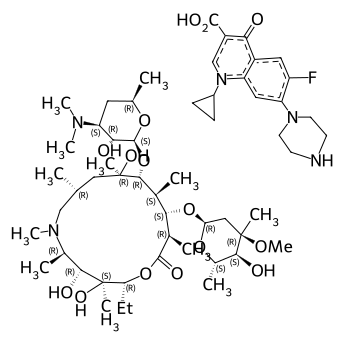 CC[C@H]1OC(=O)[C@H](C)[C@@H](O[C@H]2C[C@@](C)(OC)[C@@H](O)[C@H](C)O2)[C@H](C)[C@@H](O[C@@H]2O[C@H](C)C[C@H](N(C)C)[C@H]2O)[C@](C)(O)C[C@@H](C)CN(C)[C@H](C)[C@@H](O)[C@]1(C)O.O=C(O)c1cn(C2CC2)c2cc(N3CCNCC3)c(F)cc2c1=O